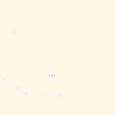 COc1ccc2ccc(S(=O)(=O)NC(Cc3cccc(C(=N)N)c3)C3([C@@H]4CCNC4)C=CC=NC3=O)cc2c1.O=C(O)C(F)(F)F